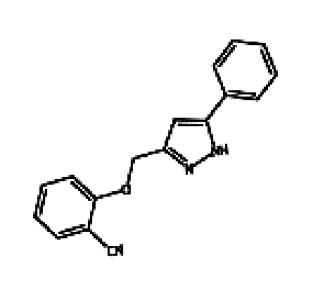 N#Cc1ccccc1OCc1cc(-c2ccccc2)[nH]n1